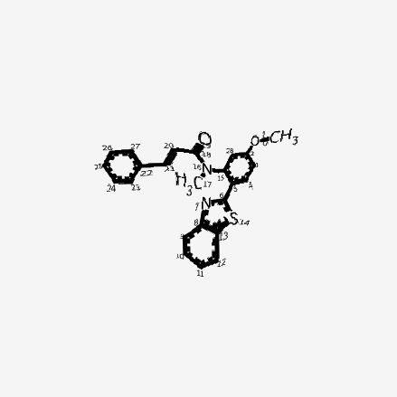 COc1ccc(-c2nc3ccccc3s2)c(N(C)C(=O)/C=C/c2ccccc2)c1